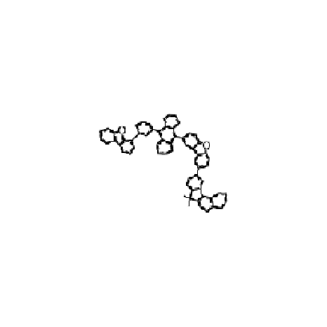 CC1(C)c2ccc(-c3ccc4oc5ccc(-c6c7ccccc7c(-c7cccc(-c8cccc9c8oc8ccccc89)c7)c7ccccc67)cc5c4c3)cc2-c2c1ccc1ccccc21